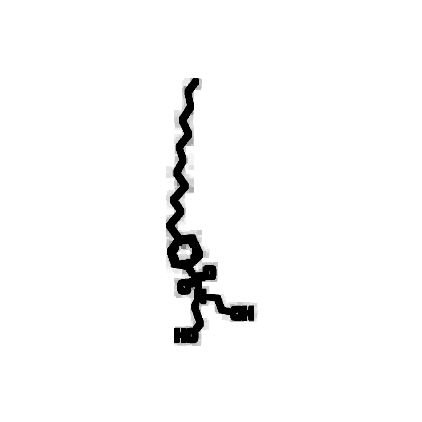 CCCCCCCCCCCCc1ccc(S(=O)(=O)N(CCO)CCO)cc1